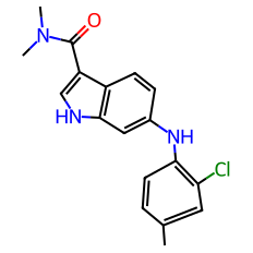 Cc1ccc(Nc2ccc3c(C(=O)N(C)C)c[nH]c3c2)c(Cl)c1